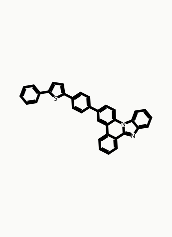 c1ccc(-c2ccc(-c3ccc(-c4ccc5c(c4)c4ccccc4c4nc6ccccc6n54)cc3)s2)cc1